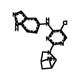 Clc1cnc(N2CC3CC(C2)N3)nc1Nc1ccc2[nH]ncc2c1